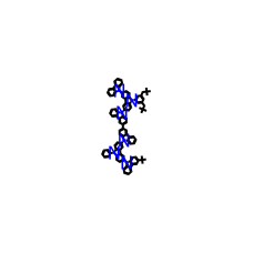 CC(C)(C)Cc1cc(CC(C)(C)C)cc(-n2c3ccc(-n4c5ccccc5c5ccccc54)cc3c3cc(-n4c5ccccc5c5cc(-c6ccc7c(c6)c6ccccc6n7-c6ccc7c(c6)c6cc(-n8c9ccccc9c9cc(C(C)(C)C)ccc98)ccc6n7-c6ccccc6)ccc54)ccc32)c1